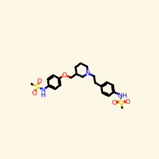 CS(=O)(=O)Nc1ccc(CCN2CCCC(COc3ccc(NS(C)(=O)=O)cc3)C2)cc1